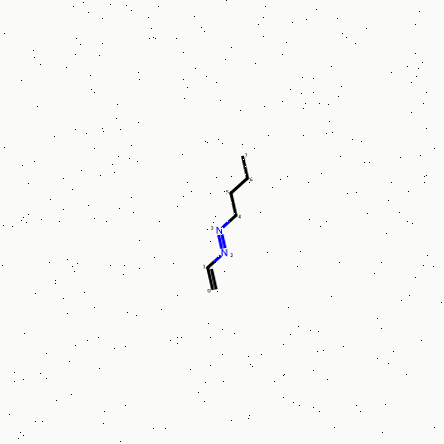 C=CN=NCCCC